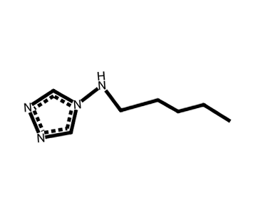 CCCCCNn1cnnc1